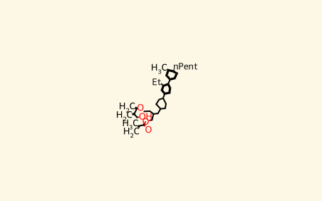 C=C(C)C(=O)OCC(CCOC(=C)C(=C)CO)CC1CCC(c2ccc(-c3ccc(CCCCC)c(C)c3)c(CC)c2)CC1